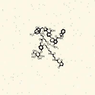 COCCN(CCOC12CC3(C)CC(C)(CC(Cn4ncc(-c5ccc(N6CCc7c(OC)ccc(C(=O)Nc8nc9ccccc9s8)c7C6)nc5C(=O)O)c4C)(C3)C1)C2)C(=O)OCc1ccc(O[C@@H]2O[C@H](C(=O)O)[C@@H](O)[C@H](O)[C@H]2O)cc1OCCOCCNC(=O)CCNC(=O)CN1C(=O)C=CC1=O